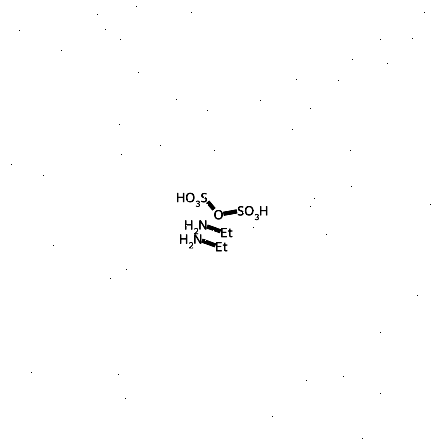 CCN.CCN.O=S(=O)(O)OS(=O)(=O)O